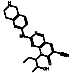 CCC(C(C)O)n1c(=O)c(C#N)cc2cnc(Nc3ccc4c(c3)CCNC4)nc21